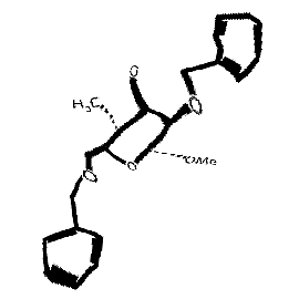 CO[C@@H]1OC(COCc2ccccc2)[C@H](C)C(=O)C1OCc1ccccc1